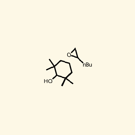 CC1(C)CCCC(C)(C)C1O.CCCCC1CO1